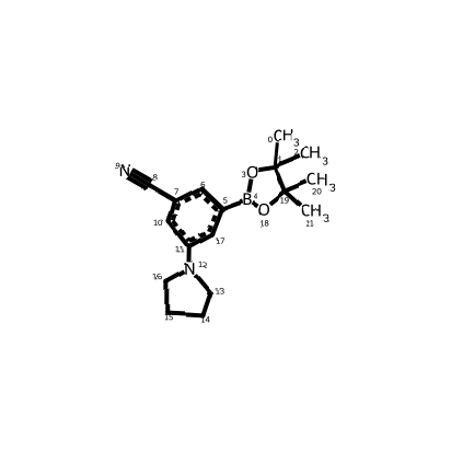 CC1(C)OB(c2cc(C#N)cc(N3CCCC3)c2)OC1(C)C